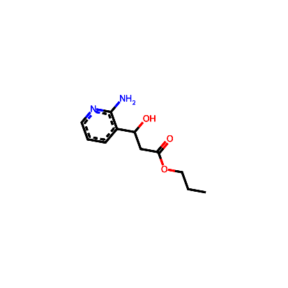 CCCOC(=O)CC(O)c1cccnc1N